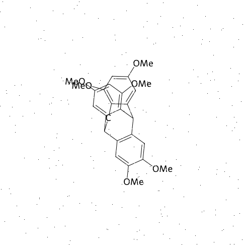 COc1cc(OC)c2c(c1)C1Cc3c(OC)cc(OC)cc3C2c2cc(OC)c(OC)cc21